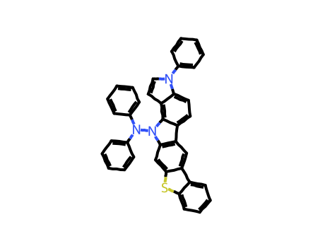 c1ccc(N(c2ccccc2)n2c3cc4sc5ccccc5c4cc3c3ccc4c(ccn4-c4ccccc4)c32)cc1